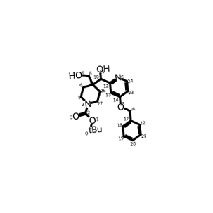 CC(C)(C)OC(=O)N1CCC(CO)(C(O)c2cc(OCc3ccccc3)ccn2)CC1